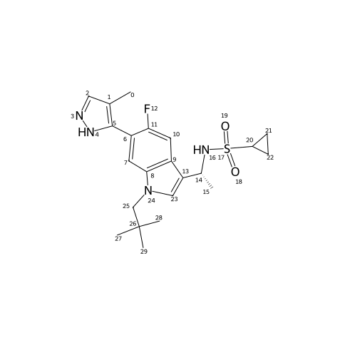 Cc1cn[nH]c1-c1cc2c(cc1F)c([C@@H](C)NS(=O)(=O)C1CC1)cn2CC(C)(C)C